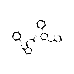 O=C(Nc1c2c(nn1-c1ccccc1)CCC2)N[C@H]1CN(Cc2ncc[nH]2)C[C@@H]1c1ccccc1